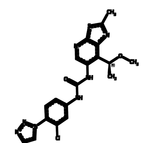 CO[C@@H](C)c1c(NC(=O)Nc2ccc(-n3ccnn3)c(Cl)c2)cnc2sc(C)nc12